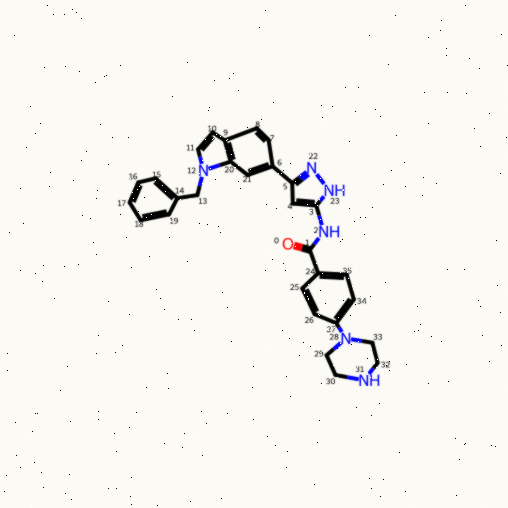 O=C(Nc1cc(-c2ccc3ccn(Cc4ccccc4)c3c2)n[nH]1)c1ccc(N2CCNCC2)cc1